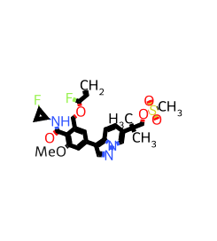 C=CC(F)OCc1cc(-c2cnn3cc(C(C)(C)COS(C)(=O)=O)ccc23)cc(OC)c1C(=O)N[C@@H]1C[C@@H]1F